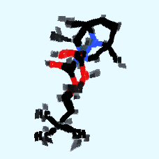 CC(=O)[C@@H]1[C@@H]2CC[C@H](CN1C(=O)OCC[Si](C)(C)C)N2C(=O)OC(C)(C)C